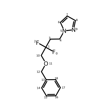 FC(F)(CCn1cccn1)COCc1ccccc1